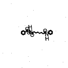 O=C(CCCCCCC(=O)Nc1ccccc1)NOC(=O)c1ccccc1